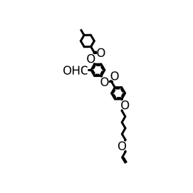 C=CCOCCCCCCOc1ccc(C(=O)Oc2ccc(OC(=O)C3CCC(C)CC3)c(C=O)c2)cc1